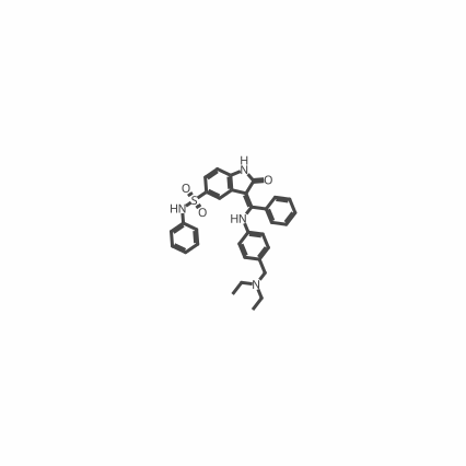 CCN(CC)Cc1ccc(NC(=C2C(=O)Nc3ccc(S(=O)(=O)Nc4ccccc4)cc32)c2ccccc2)cc1